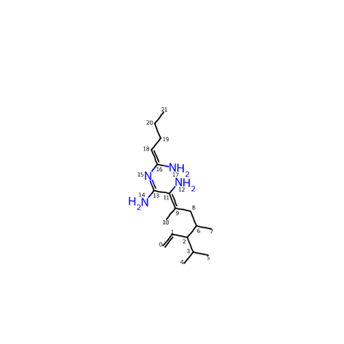 C=CC(C(C)C)C(C)C/C(C)=C(N)/C(N)=N\C(N)=C\CCC